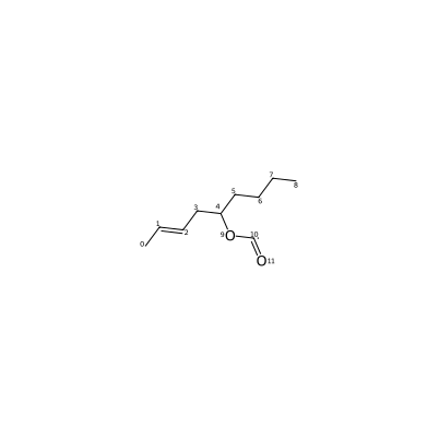 C/C=C/CC(CCCC)O[C]=O